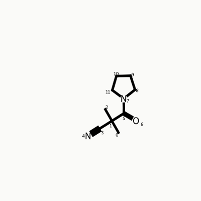 CC(C)(C#N)C(=O)N1CCCC1